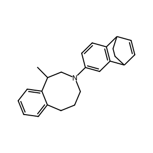 CC1CN(c2ccc3c(c2)C2C=CC3CC2)CCCc2ccccc21